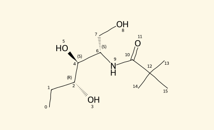 CC[C@@H](O)[C@@H](O)[C@H](CO)NC(=O)C(C)(C)C